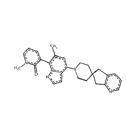 Cc1nc(N2CCC3(CC2)Cc2cccnc2C3)c2ccnn2c1-c1cccn(C)c1=O